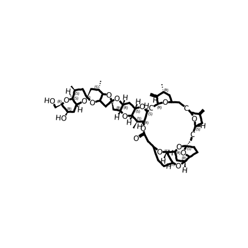 C=C1C[C@@H]2CC[C@]34CCC(O3)[C@H]3C[C@@H](O4)[C@H]4OC(CC[C@@H]4O3)CC(=O)O[C@@H]3[C@@H](C)[C@@H]4O[C@@H]5C[C@]6(CC7O[C@@]8(C[C@H](C)C7O6)C[C@H](C)[C@@H]6O[C@H](CO)[C@H](O)C[C@@H]6O8)O[C@@H]5C[C@@H]4O[C@H]3C[C@H]3OC(CCC1O2)C[C@@H](C)C3=C